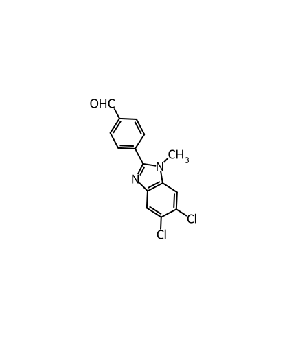 Cn1c(-c2ccc(C=O)cc2)nc2cc(Cl)c(Cl)cc21